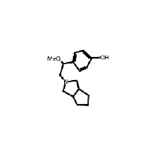 COC(CN1CC2CCCC2C1)c1ccc(O)cc1